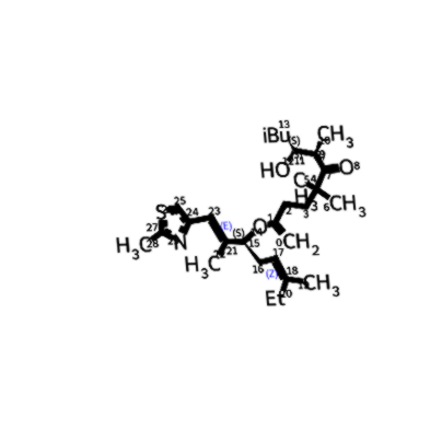 C=C(CCC(C)(C)C(=O)[C@H](C)[C@@H](O)[C@@H](C)CC)O[C@@H](C/C=C(/C)CC)/C(C)=C/c1csc(C)n1